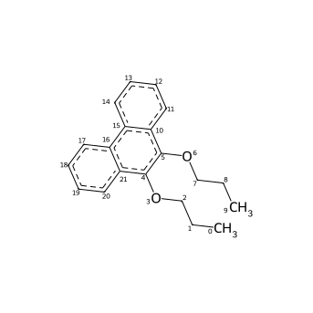 CCCOc1c(OCCC)c2ccccc2c2ccccc12